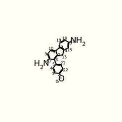 COc1ccc(-c2c(N)ccc3c2Cc2cc(N)ccc2-3)cc1